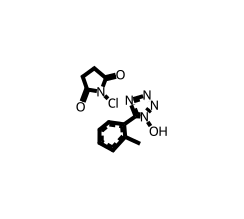 Cc1ccccc1-c1nnnn1O.O=C1CCC(=O)N1Cl